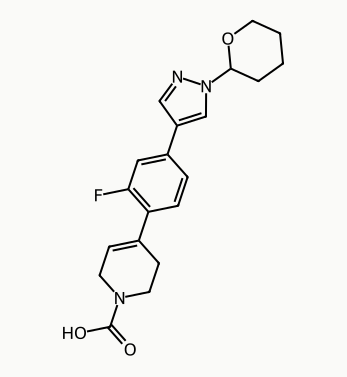 O=C(O)N1CC=C(c2ccc(-c3cnn(C4CCCCO4)c3)cc2F)CC1